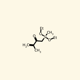 C=C(C)C(=O)C[Si](C)(OCC)OCC